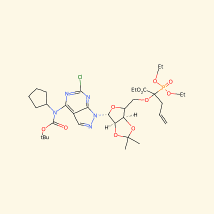 C=CCC(OCC1O[C@@H](n2ncc3c(N(C(=O)OC(C)(C)C)C4CCCC4)nc(Cl)nc32)[C@@H]2OC(C)(C)O[C@H]12)(C(=O)OCC)P(=O)(OCC)OCC